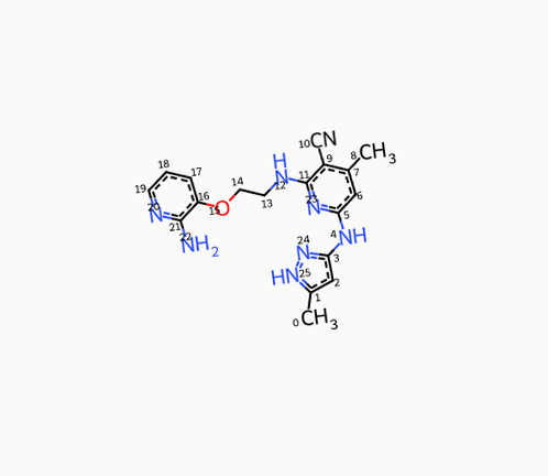 Cc1cc(Nc2cc(C)c(C#N)c(NCCOc3cccnc3N)n2)n[nH]1